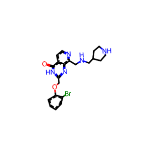 O=c1[nH]c(COc2ccccc2Br)nc2c(CNCC3CCNCC3)nccc12